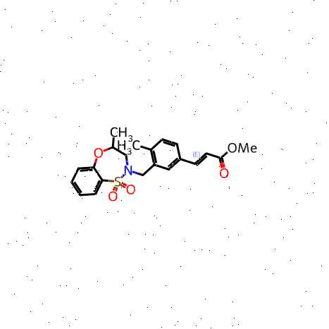 COC(=O)/C=C/c1ccc(C)c(CN2CC(C)Oc3ccccc3S2(=O)=O)c1